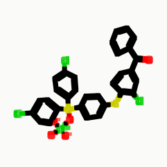 O=C(c1ccccc1)c1ccc(Sc2ccc(S(O[Cl+3]([O-])([O-])[O-])(c3ccc(Cl)cc3)c3ccc(Cl)cc3)cc2)c(Cl)c1